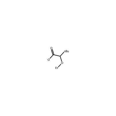 CCCCC(OCC)C([O])=O